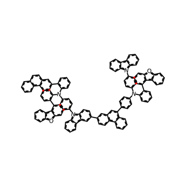 c1ccc(N(c2ccc(-c3cc4cc(-c5ccc6c(c5)c5ccccc5n6-c5ccc(N(c6ccccc6-c6ccc7c(ccc8ccccc87)c6)c6ccccc6-c6cccc7oc8ccccc8c67)cc5)ccc4c4ccccc34)cc2)c2ccc(-n3c4ccccc4c4ccccc43)cc2)c(-c2cccc3oc4ccccc4c23)c1